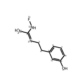 NC(=NCCc1cccc(O)c1)NF